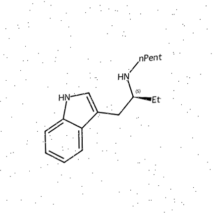 CCCCCN[C@@H](CC)Cc1c[nH]c2ccccc12